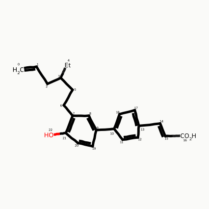 C=CCC(CC)CCc1cc(-c2ccc(/C=C/C(=O)O)cc2)ccc1O